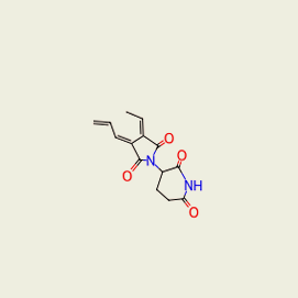 C=C/C=C1/C(=O)N(C2CCC(=O)NC2=O)C(=O)/C1=C/C